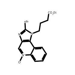 CCCc1nc2c[n+]([O-])c3ccccc3c2n1CCCC(=O)OCC